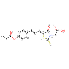 CCC(=O)Oc1ccc(/C=C/C=C2\SC(=S)N(CC(=O)O)C2=O)cc1